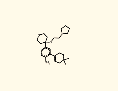 CC1(C)CC=C(c2cc(C3(OCCN4CCCC4)CCOCC3)ccc2N)CC1